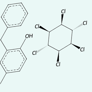 Cl[C@H]1[C@H](Cl)[C@@H](Cl)[C@@H](Cl)[C@H](Cl)[C@H]1Cl.Oc1ccc(Cl)cc1Cc1ccccc1